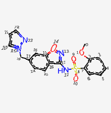 COc1ccccc1S(=O)(=O)Nc1noc2cc(Cn3cccn3)ccc12